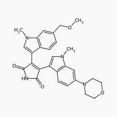 COCc1ccc2c(C3=C(c4cn(C)c5cc(N6CCOCC6)ccc45)C(=O)NC3=O)cn(C)c2c1